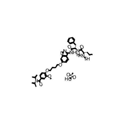 CCC[C@H](NS)C(=O)N[C@@H](Cc1ccccc1)C(=O)Nc1noc2cc(OCCCCOc3ccc(C(=O)N(C(C)C)C(C)C)cc3OC)ccc12.CS(=O)(=O)O